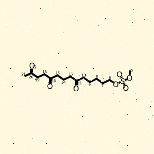 COS(=O)(=O)OCCCCCC(=O)CCCC(=O)CCC(C)=O